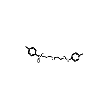 Cc1ccc(SOCCOCCOS(=O)c2ccc(C)cc2)cc1